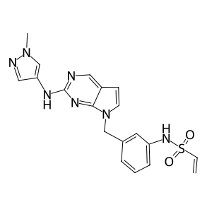 C=CS(=O)(=O)Nc1cccc(Cn2ccc3cnc(Nc4cnn(C)c4)nc32)c1